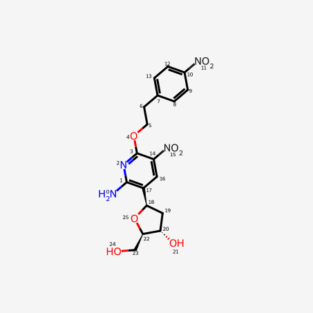 Nc1nc(OCCc2ccc([N+](=O)[O-])cc2)c([N+](=O)[O-])cc1[C@H]1C[C@H](O)[C@@H](CO)O1